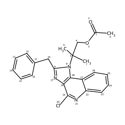 CC(=O)OCC(C)(C)n1c(Cc2ccccc2)nc2c(Cl)nc3ccccc3c21